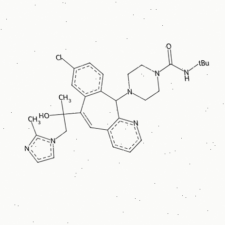 Cc1nccn1CC(C)(O)C1=Cc2cccnc2C(N2CCN(C(=O)NC(C)(C)C)CC2)c2ccc(Cl)cc21